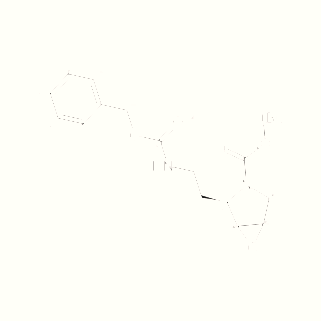 CC(C)(C)OC(=O)N1CC2OC2[C@H]1CCNC(=O)OCc1ccccc1